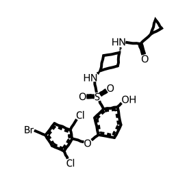 O=C(N[C@H]1C[C@H](NS(=O)(=O)c2cc(Oc3c(Cl)cc(Br)cc3Cl)ccc2O)C1)C1CC1